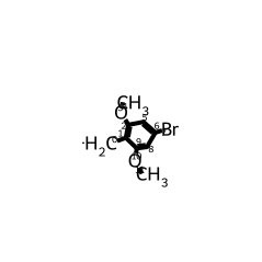 [CH2]c1c(OC)cc(Br)cc1OC